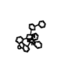 c1ccc(-c2cccc(-c3cc(-c4cccc5oc6cccc(-c7nc8ccccc8s7)c6c45)nc(-c4ccccc4)n3)c2)cc1